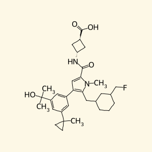 Cn1c(C(=O)N[C@H]2C[C@H](C(=O)O)C2)cc(-c2cc(C(C)(C)O)cc(C3(C)CC3)c2)c1CC1CCCC(CF)C1